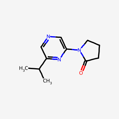 CC(C)c1cncc(N2CCCC2=O)n1